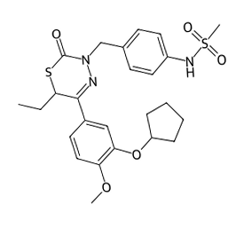 CCC1SC(=O)N(Cc2ccc(NS(C)(=O)=O)cc2)N=C1c1ccc(OC)c(OC2CCCC2)c1